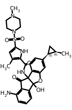 Cc1cc(S(=O)(=O)N2CCN(C)CC2)[nH]c1C(=O)NC12C(=O)c3c(N)cccc3C1(O)Oc1cc([C@H]3C[C@H]3C)ccc12